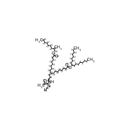 CCCCCCCCC(CCCCCCCC)OC(=O)CCCCCCCN(CCCCCCCC(=O)OCC(C)CCCCCCC)CCCN/C(=N/C#N)N(C)C